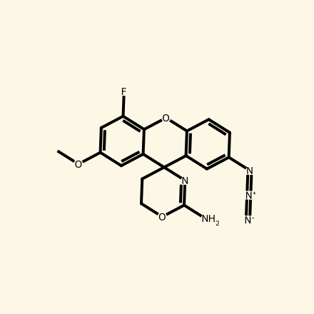 COc1cc(F)c2c(c1)C1(CCOC(N)=N1)c1cc(N=[N+]=[N-])ccc1O2